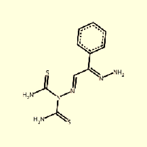 N/N=C(/C=N/N(C(N)=S)C(N)=S)c1ccccc1